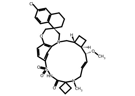 CO[C@@H]1/C=C/CN(C)C2(CCC2)C(=O)NS(=O)(=O)c2ccc3c(c2)N(C[C@@H]2CC[C@H]21)C[C@@]1(CCCc2cc(Cl)ccc21)CO3